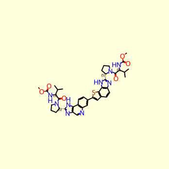 COC(=O)N[C@H](C(=O)N1CCC[C@H]1c1nc2cnc3cc(-c4cc5ccc6nc([C@@H]7CCCN7C(=O)[C@@H](NC(=O)OC)C(C)C)[nH]c6c5s4)ccc3c2[nH]1)C(C)C